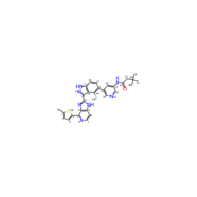 Cc1ccc(-c2nccc3[nH]c(-c4n[nH]c5ccc(-c6cncc(NC(=O)CC(C)(C)C)c6)c(F)c45)nc23)s1